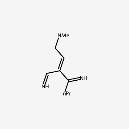 CCCC(=N)/C(C=N)=C/CNC